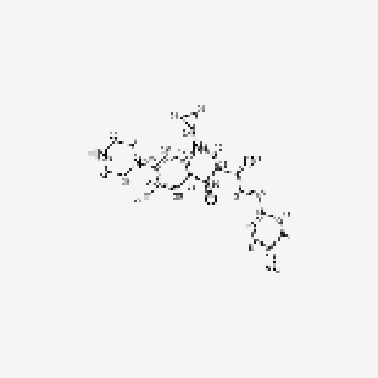 O=C(C=Cc1ccc(Cl)cc1)c1cn(C2CC2)c2cc(N3CCNCC3)c(F)cc2c1=O